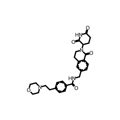 O=C1CCC(N2CCc3cc(CNC(=O)c4ccc(CCN5CCOCC5)cc4)ccc3C2=O)C(=O)N1